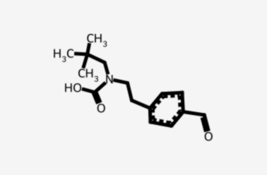 CC(C)(C)CN(CCc1ccc(C=O)cc1)C(=O)O